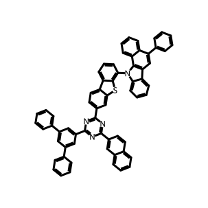 c1ccc(-c2cc(-c3ccccc3)cc(-c3nc(-c4ccc5ccccc5c4)nc(-c4ccc5c(c4)sc4c(-n6c7ccccc7c7cc(-c8ccccc8)c8ccccc8c76)cccc45)n3)c2)cc1